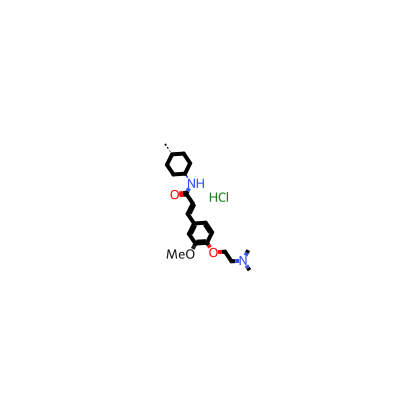 COc1cc(C=CC(=O)N[C@H]2CC[C@@H](C)CC2)ccc1OCCN(C)C.Cl